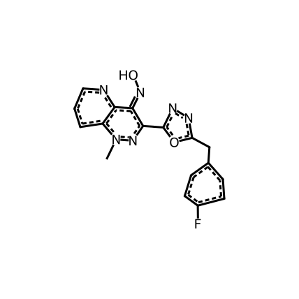 Cn1nc(-c2nnc(Cc3ccc(F)cc3)o2)c(=NO)c2ncccc21